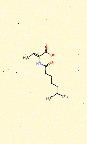 C/C=C(\NC(=O)CCCCC(C)C)C(=O)O